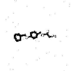 CC(=O)CC(=O)OCc1ccc(OCc2ccccc2)cc1